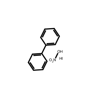 I.O=[N+]([O-])O.c1ccc(-c2ccccc2)cc1